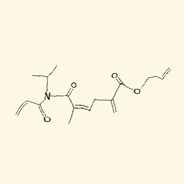 C=CCOC(=O)C(=C)CC=C(C)C(=O)N(C(=O)C=C)C(C)C